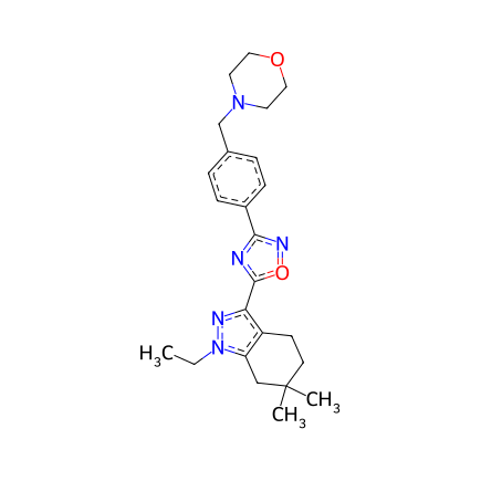 CCn1nc(-c2nc(-c3ccc(CN4CCOCC4)cc3)no2)c2c1CC(C)(C)CC2